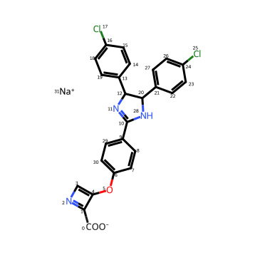 O=C([O-])C1=NC=C1Oc1ccc(C2=NC(c3ccc(Cl)cc3)C(c3ccc(Cl)cc3)N2)cc1.[Na+]